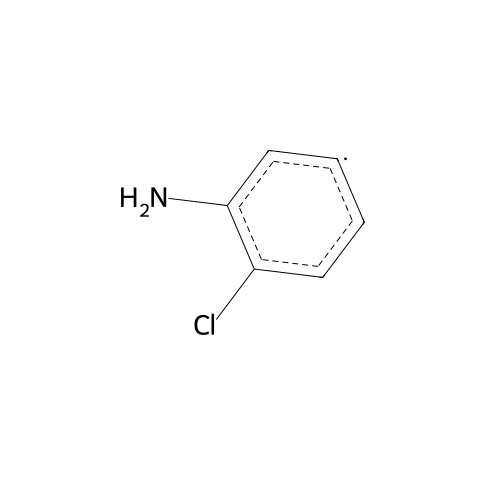 Nc1c[c]ccc1Cl